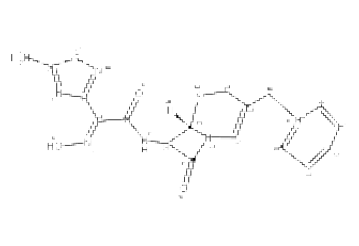 Nc1nc(C(=NO)C(=O)NC2C(=O)N3C=C(C[n+]4ccccc4)CS[C@@H]23)ns1